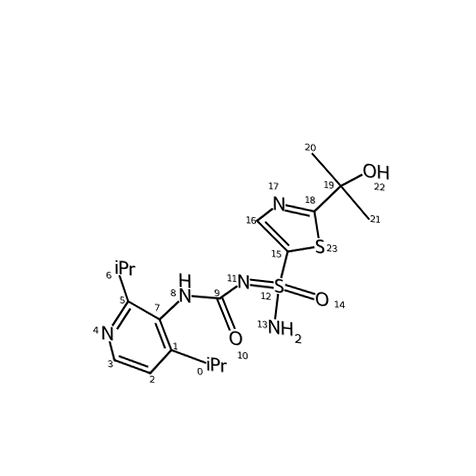 CC(C)c1ccnc(C(C)C)c1NC(=O)N=S(N)(=O)c1cnc(C(C)(C)O)s1